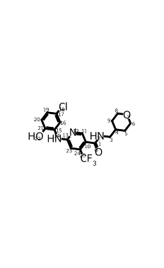 O=C(NCC1CCOCC1)c1cnc(Nc2cc(Cl)ccc2O)cc1C(F)(F)F